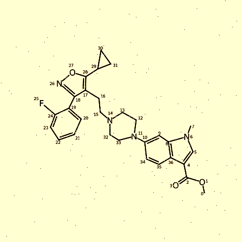 COC(=O)c1cn(C)c2cc(N3CCN(CCc4c(-c5ccccc5F)noc4C4CC4)CC3)ccc12